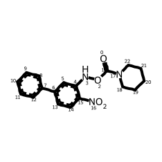 O=C(ONc1cc(-c2ccccc2)ccc1[N+](=O)[O-])N1CCCCC1